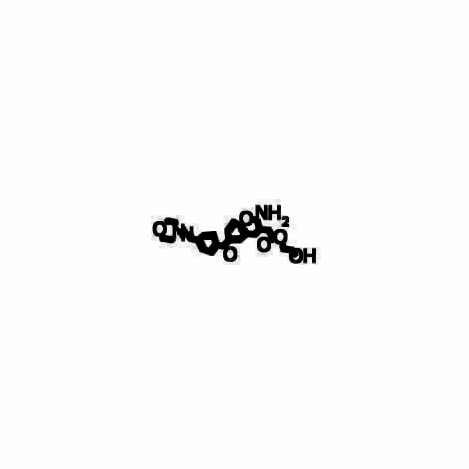 NC1Oc2ccc(C(=O)c3ccc(C=NN4CCOCC4)cc3)cc2CC1CC(=O)OCCO